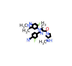 CN[C@H]1CCN(C(=O)c2nc(-c3ccc(C#N)c(F)c3)n(-c3cc4c(C)n(C)nc4cc3F)c2C)C1